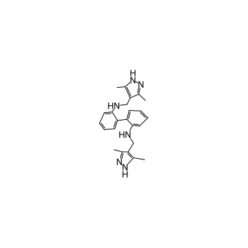 Cc1n[nH]c(C)c1CNc1ccccc1-c1ccccc1NCc1c(C)n[nH]c1C